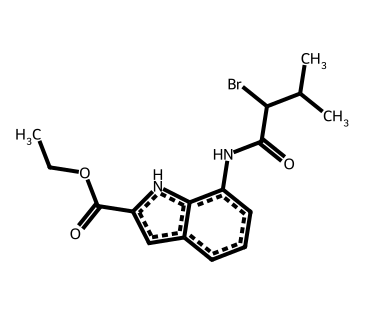 CCOC(=O)c1cc2cccc(NC(=O)C(Br)C(C)C)c2[nH]1